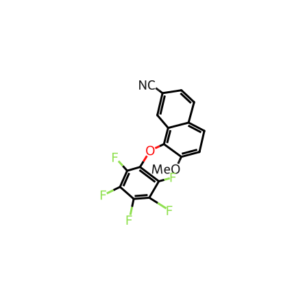 COc1ccc2ccc(C#N)cc2c1Oc1c(F)c(F)c(F)c(F)c1F